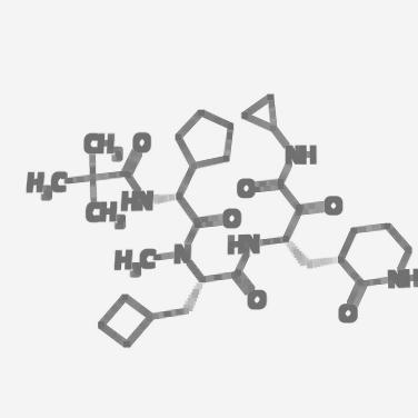 CN(C(=O)[C@H](NC(=O)C(C)(C)C)C1CCCC1)[C@@H](CC1CCC1)C(=O)N[C@@H](C[C@@H]1CCCNC1=O)C(=O)C(=O)NC1CC1